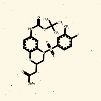 COC(=O)CC1CN(S(=O)(=O)c2ccc(F)c(C(F)(F)F)c2)c2cc(NC(=O)OC(C)(C)C(F)(F)F)ccc2O1